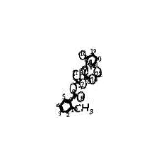 Cc1ccccc1C(=O)OC(C)OC(=O)ON1C(=O)CCC1=O